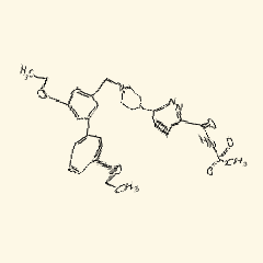 CCOc1cccc(-c2cc(CN3CCN(c4ccc(C(=O)NS(C)(=O)=O)nn4)CC3)cc(OCC)c2)c1